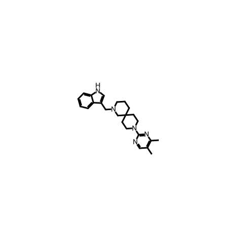 Cc1cnc(N2CCC3(CCCN(Cc4c[nH]c5ccccc45)C3)CC2)nc1C